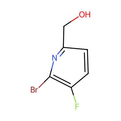 OCc1ccc(F)c(Br)n1